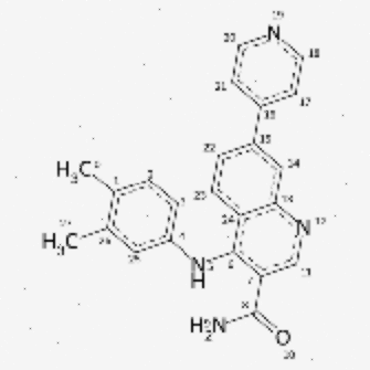 Cc1ccc(Nc2c(C(N)=O)cnc3cc(-c4ccncc4)ccc23)cc1C